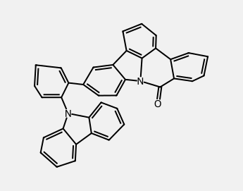 O=c1c2ccccc2c2cccc3c4cc(-c5ccccc5-n5c6ccccc6c6ccccc65)ccc4n1c23